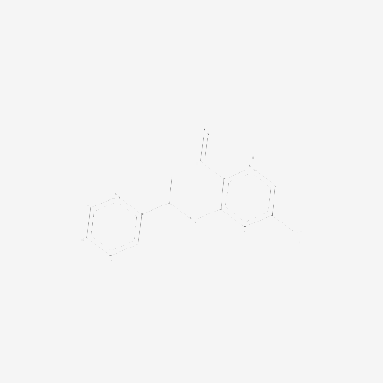 CC(Nc1cc(Br)cnc1C=N)c1ccccn1